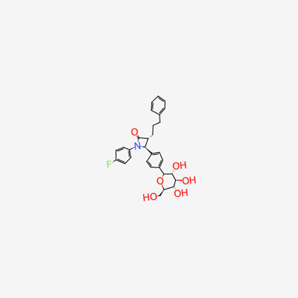 O=C1[C@H](CCCc2ccccc2)[C@@H](c2ccc(C3O[C@H](CO)[C@@H](O)[C@H](O)[C@H]3O)cc2)N1c1ccc(F)cc1